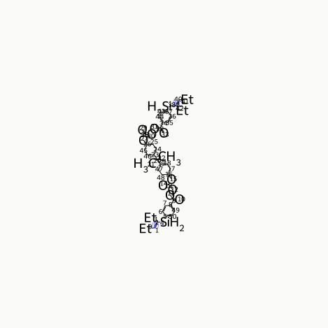 CC/C=C(\CC)[SiH2]c1ccc(C(=O)OOC(=O)OC2CCC(C(C)(C)C3CCC(OC(=O)OOC(=O)c4ccc([SiH2]/C(=C/CC)CC)cc4)CC3)CC2)cc1